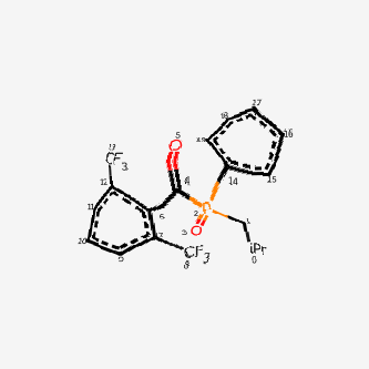 CC(C)CP(=O)(C(=O)c1c(C(F)(F)F)cccc1C(F)(F)F)c1ccccc1